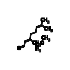 CC(C)=CCC/C(C)=C/C=O.COC